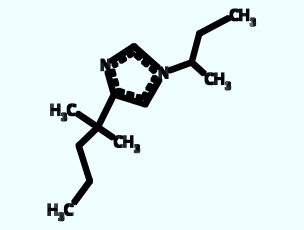 CCCC(C)(C)c1cn(C(C)CC)cn1